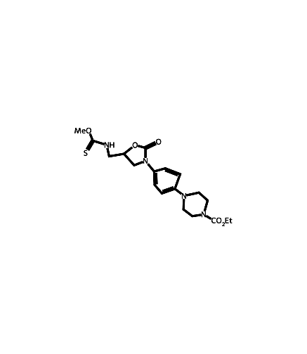 CCOC(=O)N1CCN(c2ccc(N3CC(CNC(=S)OC)OC3=O)cc2)CC1